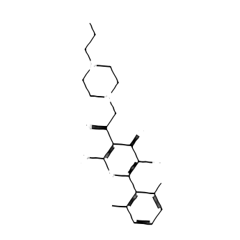 N=C(CN1CCN(CCF)CC1)c1c(N)[nH]c(-c2c(F)cccc2F)c(O)c1=O